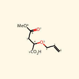 C=CCOC(CC(=O)OC)C(=O)O